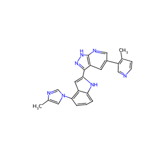 Cc1cn(-c2cccc3[nH]c(-c4n[nH]c5ncc(-c6cnccc6C)cc45)cc23)cn1